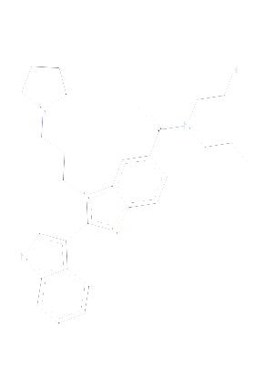 CC(C)CCN(CCC(C)C)C(=O)c1ccc2nc(-c3c[nH]c4ccccc34)n(CCCN3CCCC3)c2c1